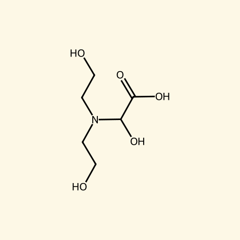 O=C(O)C(O)N(CCO)CCO